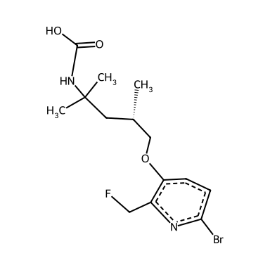 C[C@H](COc1ccc(Br)nc1CF)CC(C)(C)NC(=O)O